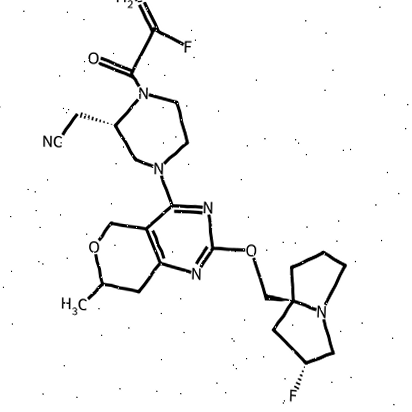 C=C(F)C(=O)N1CCN(c2nc(OC[C@@]34CCCN3C[C@H](F)C4)nc3c2COC(C)C3)C[C@@H]1CC#N